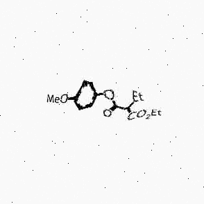 CCOC(=O)C(CC)C(=O)Oc1ccc(OC)cc1